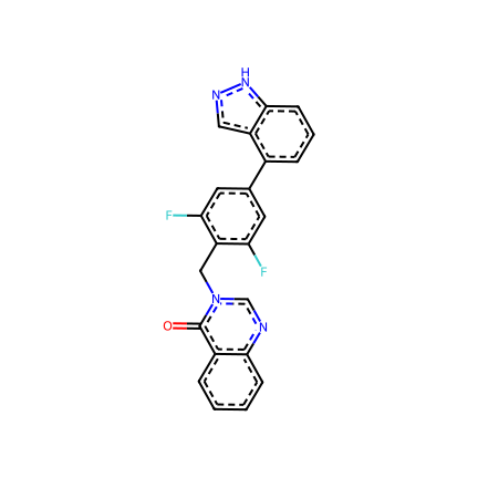 O=c1c2ccccc2ncn1Cc1c(F)cc(-c2cccc3[nH]ncc23)cc1F